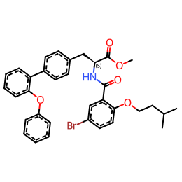 COC(=O)[C@H](Cc1ccc(-c2ccccc2Oc2ccccc2)cc1)NC(=O)c1cc(Br)ccc1OCCC(C)C